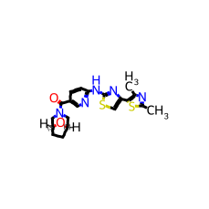 Cc1nc(C)c(-c2csc(Nc3ccc(C(=O)N4C[C@H]5CC[C@@H](C4)O5)cn3)n2)s1